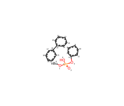 CCCCOP(=O)(O)Oc1ccccc1.c1ccc(-c2ccccc2)cc1